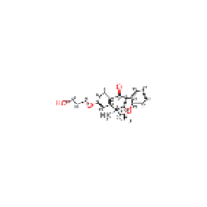 CC1(C)C2=C(CCC(OCCCO)=C2)C(=O)c2c1oc1ccccc21